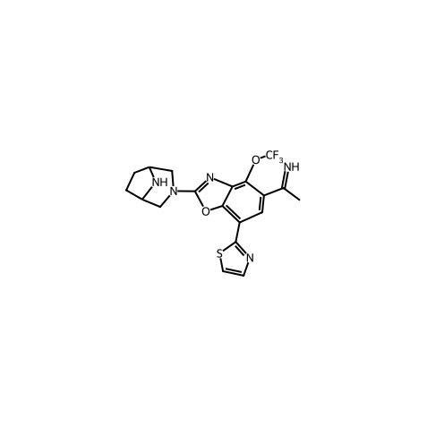 CC(=N)c1cc(-c2nccs2)c2oc(N3CC4CCC(C3)N4)nc2c1OC(F)(F)F